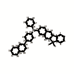 CC1(C)c2ccccc2-c2cc3ccc(N(c4ccccc4)c4ccc(-c5ccc6ccccc6c5)cc4)cc3cc21